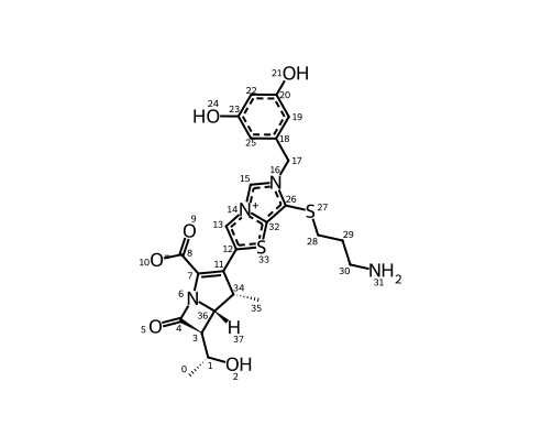 C[C@@H](O)[C@H]1C(=O)N2C(C(=O)[O-])=C(c3c[n+]4cn(Cc5cc(O)cc(O)c5)c(SCCCN)c4s3)[C@H](C)[C@H]12